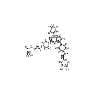 CC(CCN=Cc1ccc(-c2nc(-c3ccccc3)c3ccn(-c4ccc(C=NCCC(C)N(C)C)cc4)c3n2)cc1)N(C)C